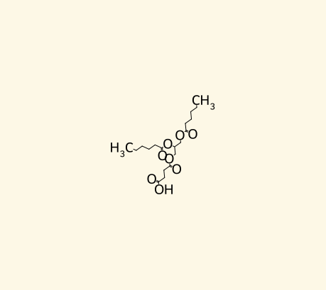 CCCCCC(=O)OCC(COC(=O)CCC(=O)O)OC(=O)CCCCC